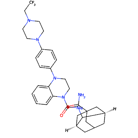 NC(=O)C12CC3C[C@H](C1)C(NC(=O)N1CCN(c4ccc(N5CCN(CC(F)(F)F)CC5)cc4)c4ccccc41)[C@@H](C3)C2